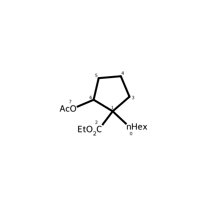 CCCCCCC1(C(=O)OCC)CCCC1OC(C)=O